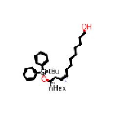 CCCCCC[C@H](C/C=C\CCCCCCCCO)O[Si](c1ccccc1)(c1ccccc1)C(C)(C)C